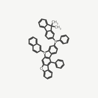 CC1(C)c2ccccc2-c2ccc(N(c3ccccc3)c3ccc4c5c(-c6ccccc6)c6c(cc5n(-c5ccc7ccccc7c5)c4c3)oc3ccccc36)cc21